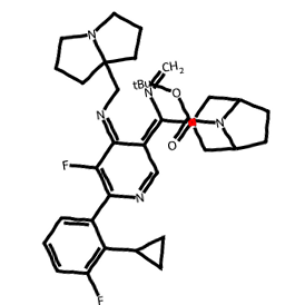 C=N/C(=C1/C=NC(c2cccc(F)c2C2CC2)=C(F)/C1=N/CC12CCCN1CCC2)N1CC2CCC(C1)N2C(=O)OC(C)(C)C